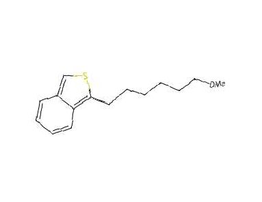 COCCCCCCc1scc2ccccc12